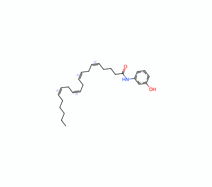 CCCCC/C=C\C/C=C\C/C=C\C/C=C\CCCC(=O)Nc1cccc(O)c1